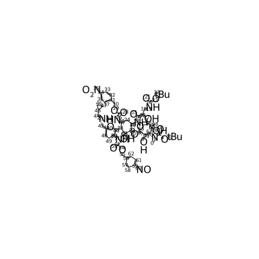 CN(C(=O)OC(C)(C)C)[C@@H]1[C@@H](O)[C@@H](O[C@H]2[C@H](NC(=O)[C@H](O)CNC(=O)OC(C)(C)C)C[C@H](NC(=O)OCc3ccc([N+](=O)[O-])cc3)C([C@H]3OC(CNCC4CC4)=CC[C@H]3NC(=O)OCc3ccc(N=O)cc3)[C@@H]2O)OC[C@]1(C)O